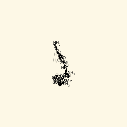 CSSC(C)c1cc(NC(=O)COCCOCCN)ccc1C(=O)OCCOCC(=O)NCC#Cc1cn([C@H]2CC(OC(=O)c3ccccc3C(C)SSC)[C@@H](COP(=O)(O)OP(=O)(O)OP(=O)(O)O)O2)c2ncnc(N)c12